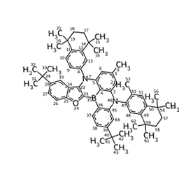 Cc1cc2c3c(c1)N(c1ccc4c(c1)C(C)(C)CCC4(C)C)c1c(oc4ccc(C(C)(C)C)cc14)B3c1ccc(C(C)(C)C)cc1N2c1cc2c(cc1C)C(C)(C)CCC2(C)C